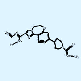 CC(C)N/C(=N\C=N)c1cn2c(n1)-c1cnc(C3CCN(C(=O)OC(C)(C)C)CC3)cc1OCC2